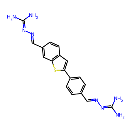 NC(N)=NN=Cc1ccc2cc(-c3ccc(/C=N/N=C(N)N)cc3)sc2c1